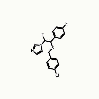 Fc1ccc(C(SCc2ccc(Cl)cc2)C(F)n2ccnc2)cc1